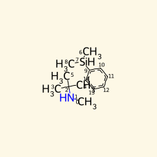 CNC(C)(C)C.C[SiH](C)c1ccccc1